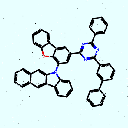 c1ccc(-c2cccc(-c3nc(-c4ccccc4)nc(-c4cc(-n5c6ccccc6c6cc7ccccc7cc65)c5oc6ccccc6c5c4)n3)c2)cc1